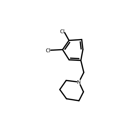 Clc1ccc(CN2CCCCC2)cc1Cl